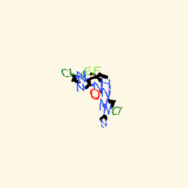 C=C[C@@]1(C(F)(F)F)CN(C(=O)Nc2cc(Cl)n(C3CN(C)C3)n2)c2cnc3cc(Cl)nn3c21